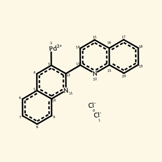 [Cl-].[Cl-].[Pd+2][c]1cc2ccccc2nc1-c1ccc2ccccc2n1